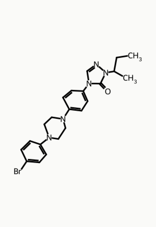 CCC(C)n1ncn(-c2ccc(N3CCN(c4ccc(Br)cc4)CC3)cc2)c1=O